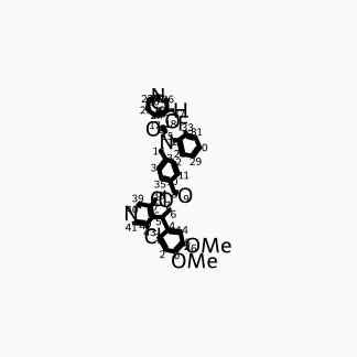 COc1ccc(C(COC(=O)c2ccc(CN(C(=O)O[C@H]3CN4CCC3CC4)c3ccccc3F)cc2)c2c(Cl)cncc2Cl)cc1OC